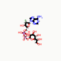 Nc1ncnc2c1ncn2[C@@H]1O[C@H](COP(=O)(O)OP(=O)(O)O[C@@H]2OC([C@H](O)CO)[C@@H](O)C(O)C2O)[C@H](O)[C@@H]1F